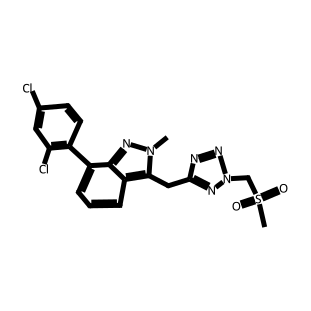 Cn1nc2c(-c3ccc(Cl)cc3Cl)cccc2c1Cc1nnn(CS(C)(=O)=O)n1